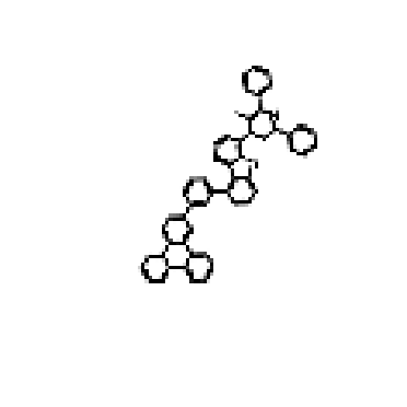 CC1=C(c2ccccc2)N=C(c2ccccc2)CC1c1cccc2c1oc1cccc(-c3cccc(-c4ccc5c6ccccc6c6ccccc6c5c4)c3)c12